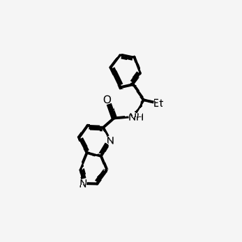 CCC(NC(=O)c1ccc2cnccc2n1)c1ccccc1